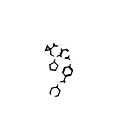 CN1C(=O)C2(CC2)CN(C2CCCC2)c2nc(Nc3ccc(C(=O)NC4CCOCC4)cc3)ncc21